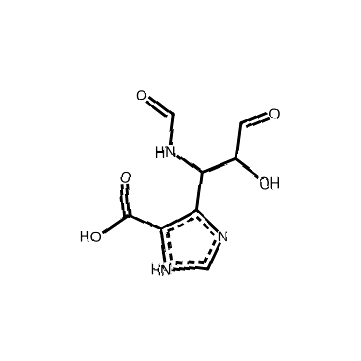 O=CNC(c1nc[nH]c1C(=O)O)C(O)C=O